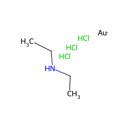 CCNCC.Cl.Cl.Cl.[Au]